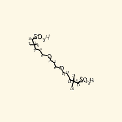 CC(C)(CCCOCCCOCCCC(C)(C)CS(=O)(=O)O)CS(=O)(=O)O